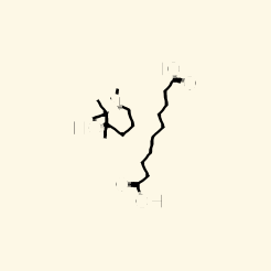 CN1CCCC(C)(O)C1(C)C.O=C(O)CCCCCCCCC(=O)O